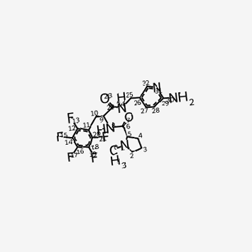 CN1CCC[C@@H]1C(=O)N[C@@H](Cc1c(F)c(F)c(F)c(F)c1F)C(=O)NCc1ccc(N)nc1